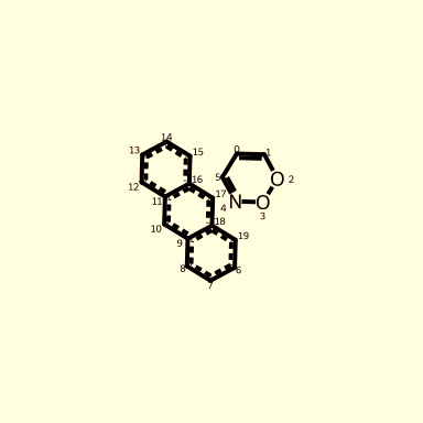 C1=COON=C1.c1ccc2cc3ccccc3cc2c1